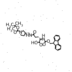 CC(C)(C)OC(=O)N1CC[C@@H](CNC(=O)CC[C@H](NC(=O)OCC2c3ccccc3-c3ccccc32)C(=O)O)C1